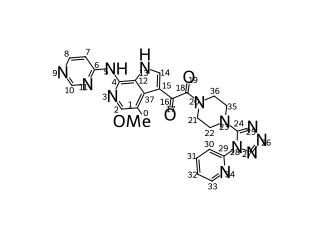 COc1cnc(Nc2ccncn2)c2[nH]cc(C(=O)C(=O)N3CCN(c4nnnn4-c4ccccn4)CC3)c12